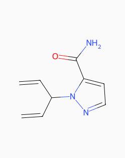 C=CC(C=C)n1nccc1C(N)=O